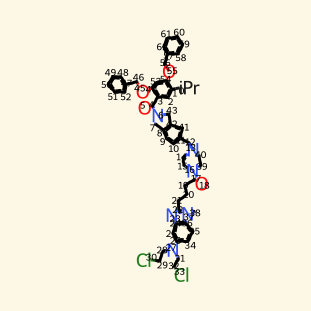 CC(C)c1cc(C(=O)N2Cc3ccc(CN4CCN(C(=O)CCCc5nc6cc(N(CCCl)CCCl)ccc6n5C)CC4)cc3C2)c(OCc2ccccc2)cc1OCc1ccccc1